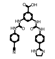 N#Cc1ccc(NC(=O)Nc2cc(NC(=O)Nc3ccc(C4=NCCN4)cc3)cc(C(=O)O)c2)cc1